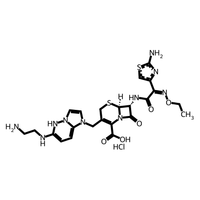 CCO/N=C(\C(=O)N[C@@H]1C(=O)N2C(C(=O)O)=C(CN3C=CN4NC(NCCN)=CC=C34)CS[C@@H]12)c1csc(N)n1.Cl